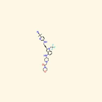 CC(C)(C#N)c1ccc(NCC#Cc2cc3c(NC4CCN(CC(=O)N5CCOCC5)CC4)cccc3n2CC(F)(F)F)cn1